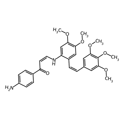 COc1cc(/C=C\c2cc(OC)c(OC)c(OC)c2)c(N/C=C\C(=O)c2ccc(N)cc2)cc1OC